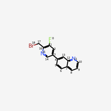 Fc1cc(-c2ccc3cccnc3c2)cnc1CBr